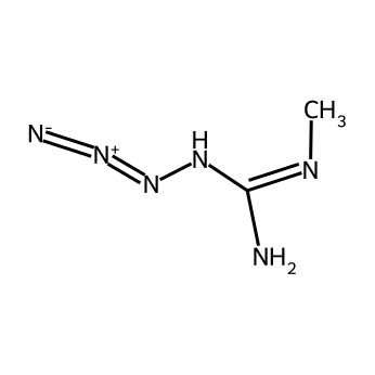 CN=C(N)NN=[N+]=[N-]